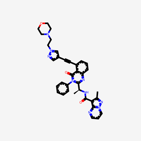 Cc1nn2cccnc2c1C(=O)N[C@@H](C)c1nc2cccc(C#Cc3cnn(CCN4CCOCC4)c3)c2c(=O)n1-c1ccccc1